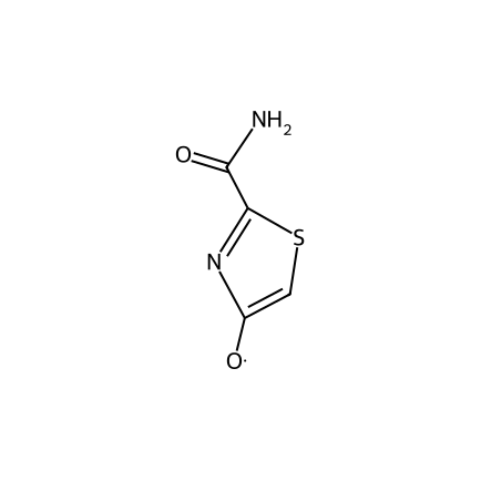 NC(=O)c1nc([O])cs1